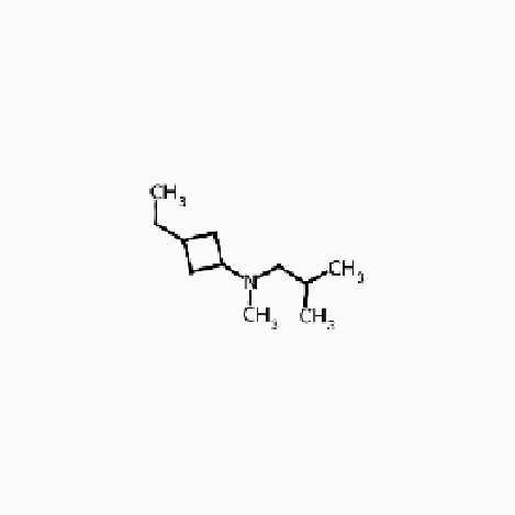 CCC1CC(N(C)CC(C)C)C1